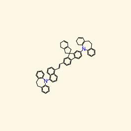 C1=CC2=C(CC1)CC1(C2)c2cc(/C=C/c3cccc4c(N5c6ccccc6CCc6ccccc65)cccc34)ccc2-c2ccc(N3C4=C(C=CCC4)CCc4ccccc43)cc21